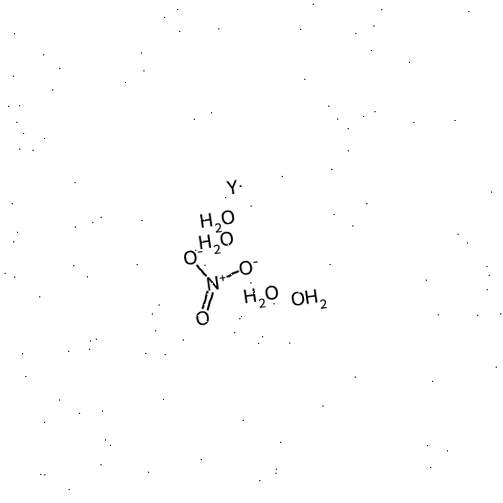 O.O.O.O.O=[N+]([O-])[O-].[Y]